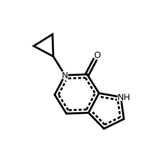 O=c1c2[nH]ccc2ccn1C1CC1